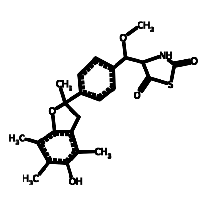 COC(c1ccc(C2(C)Cc3c(C)c(O)c(C)c(C)c3O2)cc1)C1NC(=O)SC1=O